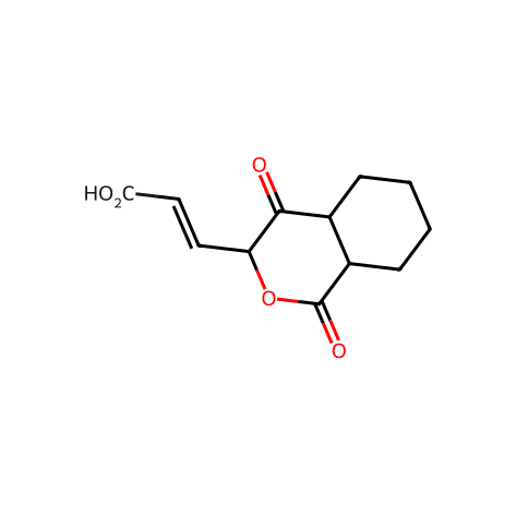 O=C(O)C=CC1OC(=O)C2CCCCC2C1=O